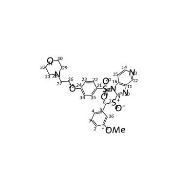 COc1cccc(C[S+]([O-])c2nc3cnccc3n2S(=O)(=O)c2ccc(OCCN3CCOCC3)cc2)c1